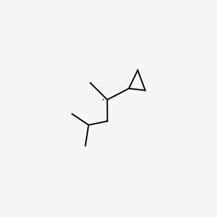 C[C](CC(C)C)C1CC1